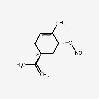 C=C(C)[C@H]1CC=C(C)C(ON=O)C1